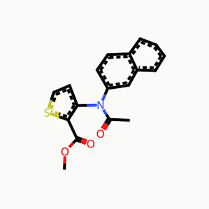 COC(=O)c1sccc1N(C(C)=O)c1ccc2ccccc2c1